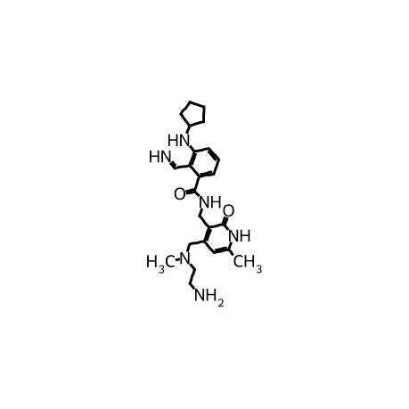 Cc1cc(CN(C)CCN)c(CNC(=O)c2cccc(NC3CCCC3)c2C=N)c(=O)[nH]1